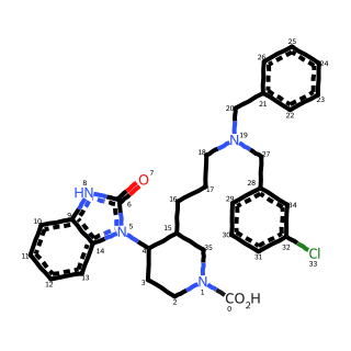 O=C(O)N1CCC(n2c(=O)[nH]c3ccccc32)C(CCCN(Cc2ccccc2)Cc2cccc(Cl)c2)C1